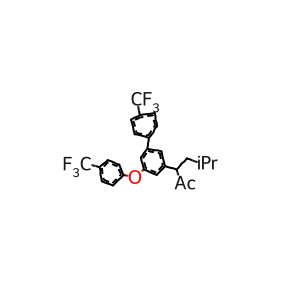 CC(=O)C(CC(C)C)c1cc(Oc2ccc(C(F)(F)F)cc2)cc(-c2ccc(C(F)(F)F)cc2)c1